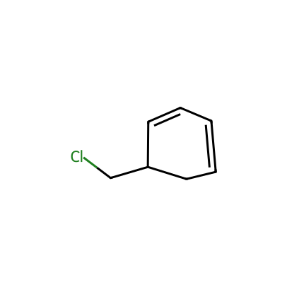 ClCC1C=CC=CC1